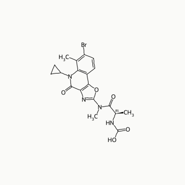 Cc1c(Br)ccc2c3oc(N(C)C(=O)[C@@H](C)NC(=O)O)nc3c(=O)n(C3CC3)c12